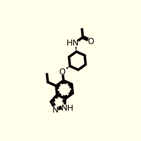 CCc1c(O[C@H]2CCC[C@@H](NC(C)=O)C2)ccc2[nH]ncc12